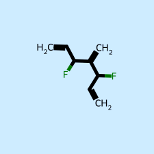 C=CC(F)C(=C)C(F)C=C